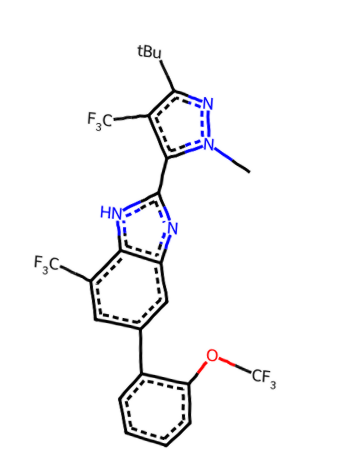 Cn1nc(C(C)(C)C)c(C(F)(F)F)c1-c1nc2cc(-c3ccccc3OC(F)(F)F)cc(C(F)(F)F)c2[nH]1